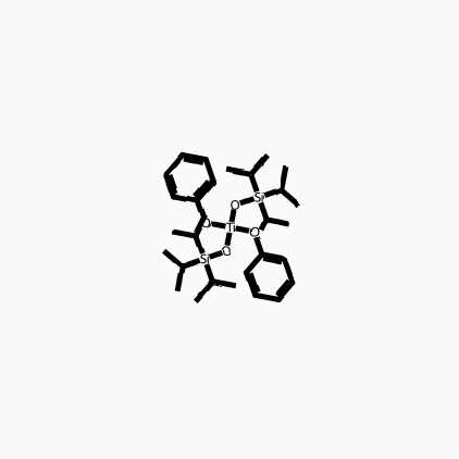 CC(C)[Si]([O][Ti]([O]c1ccccc1)([O]c1ccccc1)[O][Si](C(C)C)(C(C)C)C(C)C)(C(C)C)C(C)C